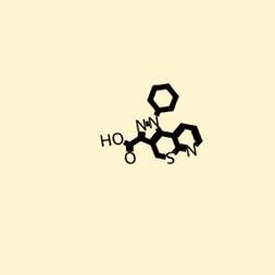 O=C(O)c1nn(C2CCCCC2)c2c1CSc1ncccc1-2